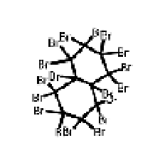 [O]C1(Br)C(Br)(Br)C(Br)(Br)C(Br)(Br)C2(Br)C(Br)(Br)C(Br)(Br)C(Br)(Br)C(Br)(Br)C12Br